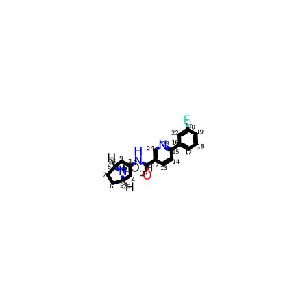 O=C(NC1C[C@H]2CC[C@@H](C1)N2C(=O)O)c1ccc(-c2cccc(F)c2)nc1